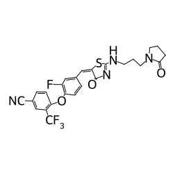 N#Cc1ccc(Oc2ccc(/C=C3/SC(NCCCN4CCCC4=O)=NC3=O)cc2F)c(C(F)(F)F)c1